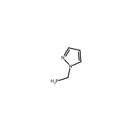 PCn1cccn1